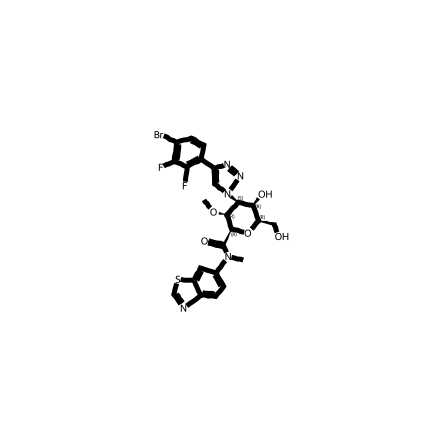 CO[C@@H]1[C@@H](n2cc(-c3ccc(Br)c(F)c3F)nn2)[C@@H](O)[C@@H](CO)O[C@H]1C(=O)N(C)c1ccc2ncsc2c1